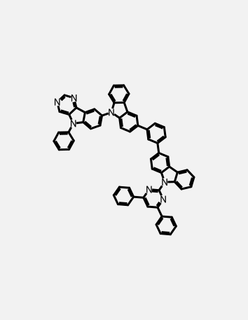 c1ccc(-c2cc(-c3ccccc3)nc(-n3c4ccccc4c4cc(-c5cccc(-c6ccc7c(c6)c6ccccc6n7-c6ccc7c(c6)c6ncncc6n7-c6ccccc6)c5)ccc43)n2)cc1